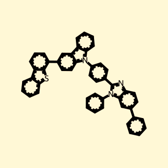 c1ccc(-c2ccc3nc(-c4ccc(-n5c6ccccc6c6cc(-c7cccc8c7sc7ccccc78)ccc65)cc4)n(-c4ccccc4)c3c2)cc1